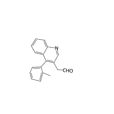 Cc1ccccc1-c1c(CC=O)cnc2ccccc12